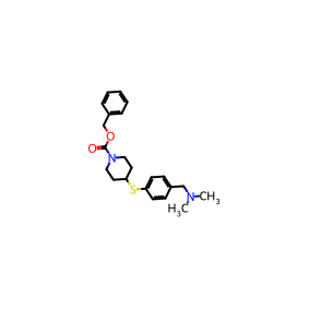 CN(C)Cc1ccc(SC2CCN(C(=O)OCc3ccccc3)CC2)cc1